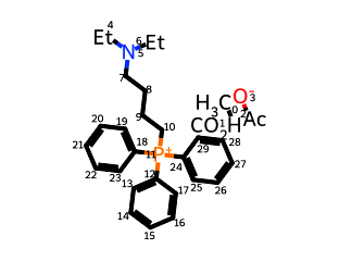 CC(=O)O.CC(=O)[O-].CCN(CC)CCCC[P+](c1ccccc1)(c1ccccc1)c1ccccc1